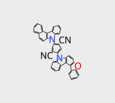 N#Cc1cc(-n2c3ccccc3c3c4c(ccc32)oc2ccccc24)c(C#N)cc1-n1c2ccccc2c2c3ccccc3ccc21